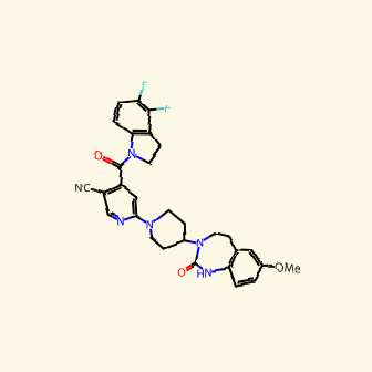 COc1ccc2c(c1)CCN(C1CCN(c3cc(C(=O)N4CCc5c4ccc(F)c5F)c(C#N)cn3)CC1)C(=O)N2